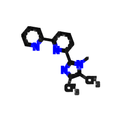 Cn1c(-c2cccc(-c3ccccn3)n2)nc(C(F)(F)F)c1C(F)(F)F